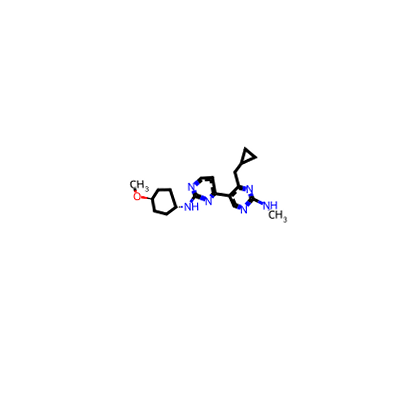 CNc1ncc(-c2ccnc(N[C@H]3CC[C@H](OC)CC3)n2)c(CC2CC2)n1